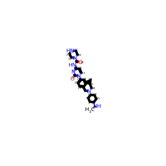 CN[C@H]1CC[C@H](N(Cc2ccc(-n3ccc(NC(=O)N4CCNCC4)nc3=O)cc2)CC2CC2)CC1